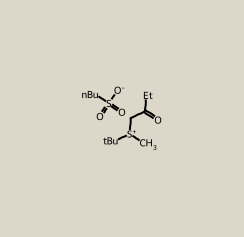 CCC(=O)C[S+](C)C(C)(C)C.CCCCS(=O)(=O)[O-]